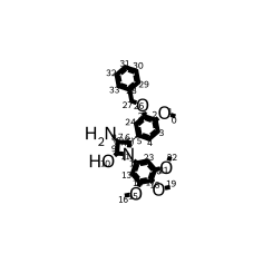 COc1ccc([C@H]2[C@H](N)C(O)N2c2cc(OC)c(OC)c(OC)c2)cc1OCc1ccccc1